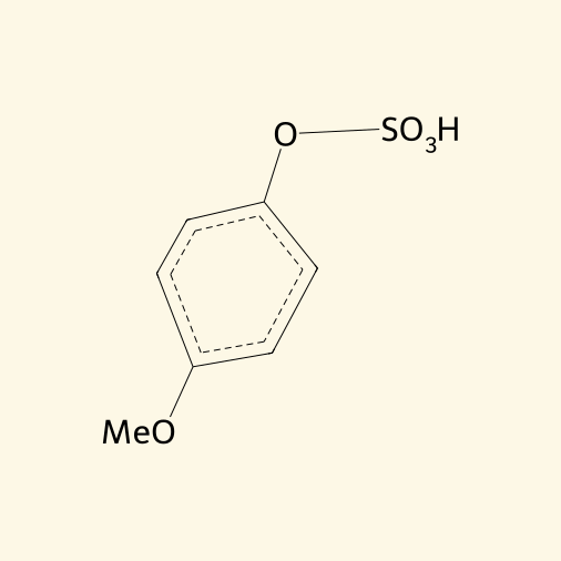 COc1ccc(OS(=O)(=O)O)cc1